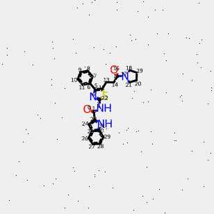 O=C(Nc1nc(-c2ccccc2)c(CCC(=O)N2CCCC2)s1)c1cc2ccccc2[nH]1